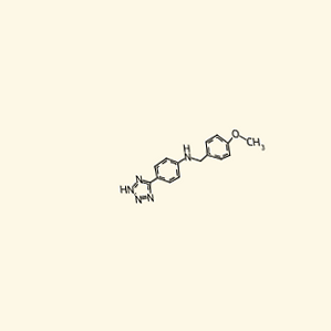 COc1ccc(CNc2ccc(-c3nn[nH]n3)cc2)cc1